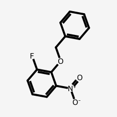 O=[N+]([O-])c1cccc(F)c1OCc1ccccc1